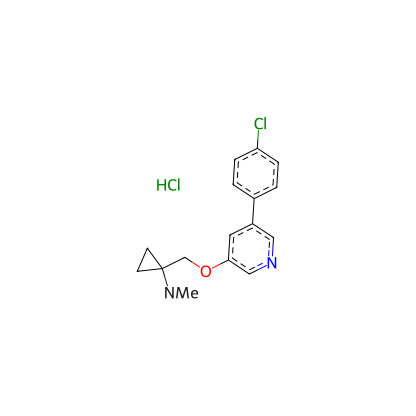 CNC1(COc2cncc(-c3ccc(Cl)cc3)c2)CC1.Cl